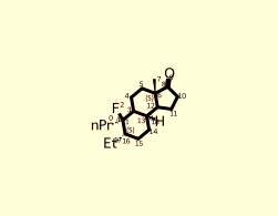 CCC[C@]1(F)C2CC[C@]3(C)C(=O)CCC3[C@@H]2CC[C@@H]1CC